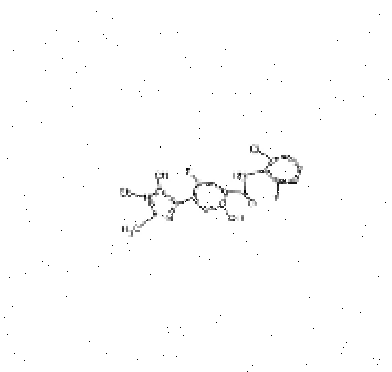 CCn1c(C)nc(-c2cc(O)c(C(=O)Nc3c(F)cccc3Cl)cc2F)c1C#N